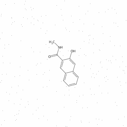 CNC(=O)c1cc2ccccc2cc1O